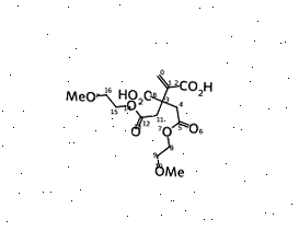 C=C(C(=O)O)C(CC(=O)OCCOC)(CC(=O)OCCOC)C(=O)O